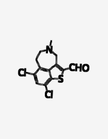 CN1CCc2c(Cl)cc(Cl)c3sc(C=O)c(c23)C1